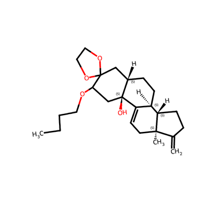 C=C1CC[C@H]2[C@@H]3CC[C@H]4CC5(OCCO5)C(OCCCC)C[C@@]4(O)C3=CC[C@]12C